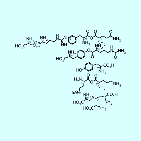 CSCC[C@H](N)C(=O)OC(=O)[C@@H](N)CCCN.N=C(N)NCCC[C@H](N)C(=O)O.NC(=O)CC[C@H](N)C(=O)OC(=O)[C@@H](N)Cc1ccccc1.NC(=O)NCCC[C@H](N)C(=O)Oc1ccc(C[C@H](N)C(=O)O)cc1.NC(CSSC[C@H](N)C(=O)O)C(=O)O.NCC(=O)O.N[C@@H](CO)C(=O)O.N[C@@H](Cc1ccc(O)cc1)C(=O)O